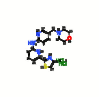 Cl.Cl.c1cc(Nc2ccc(CN3CCOCC3)cn2)nc(-c2nccs2)c1